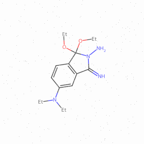 CCOC1(OCC)c2ccc(N(CC)CC)cc2C(=N)N1N